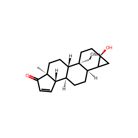 COC[C@]12CC[C@]3(O)CC3[C@H]1CC[C@@H]1[C@@H]2CC[C@]2(C)C(=O)C=C[C@@H]12